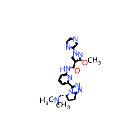 COc1nn(-c2cnccn2)cc1C(=O)Nc1cccc(-c2nnc3n2[C@@H](CN(C)C)CC3)n1